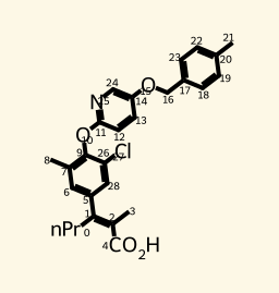 CCCC(=C(C)C(=O)O)c1cc(C)c(Oc2ccc(OCc3ccc(C)cc3)cn2)c(Cl)c1